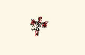 CCCCc1cc(C(C)(C)c2cc(CCC[Si](OCC)(OCC)OCC)c(OCC3CO3)c(CCC[Si](OCC)(OCC)OCC)c2)ccc1OCC1CO1